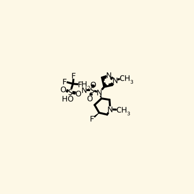 CN1C[C@@H](F)C[C@@H](N(c2cnn(C)c2)S(N)(=O)=O)C1.O=S(=O)(O)C(F)(F)F